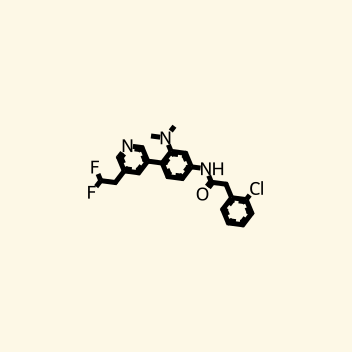 CN(C)c1cc(NC(=O)Cc2ccccc2Cl)ccc1-c1cncc(CC(F)F)c1